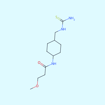 COCCC(=O)NC1CCC(CNC(N)=S)CC1